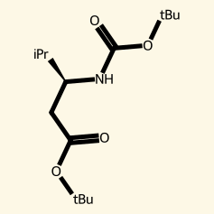 CC(C)[C@H](CC(=O)OC(C)(C)C)NC(=O)OC(C)(C)C